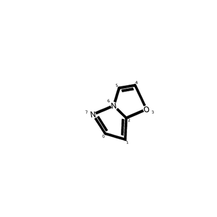 c1cc2occn2n1